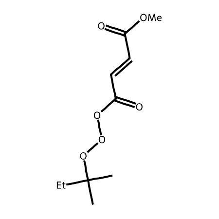 CCC(C)(C)OOOC(=O)C=CC(=O)OC